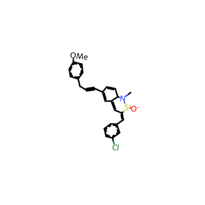 COc1ccc(CC#CC2=CC3=C/C(=C\c4cccc(Cl)c4)[S+]([O-])N(C)C3C=C2)cc1